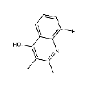 Cc1nc2c(F)cccc2c(O)c1C